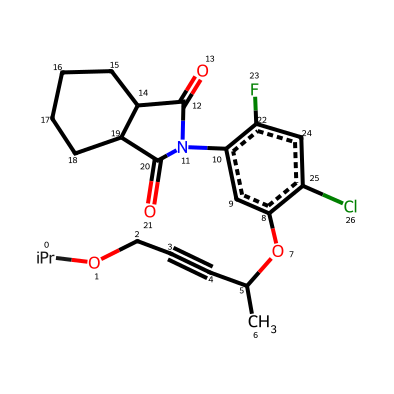 CC(C)OCC#CC(C)Oc1cc(N2C(=O)C3CCCCC3C2=O)c(F)cc1Cl